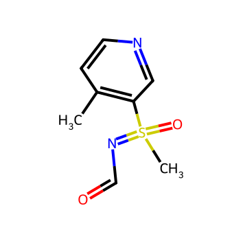 Cc1ccncc1S(C)(=O)=NC=O